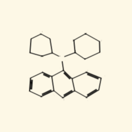 c1ccc2c(P(C3CCCCC3)C3CCCCC3)c3ccccc3cc2c1